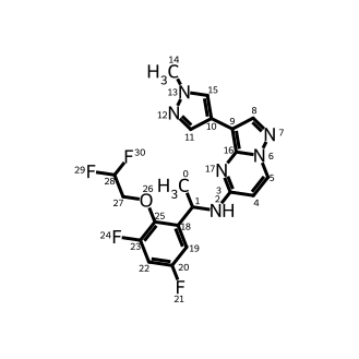 CC(Nc1ccn2ncc(-c3cnn(C)c3)c2n1)c1cc(F)cc(F)c1OCC(F)F